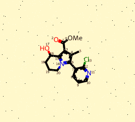 COC(=O)c1c(C)c(-c2cccnc2Cl)n2c1C(O)CCC2